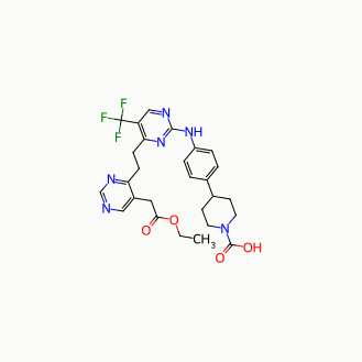 CCOC(=O)Cc1cncnc1CCc1nc(Nc2ccc(C3CCN(C(=O)O)CC3)cc2)ncc1C(F)(F)F